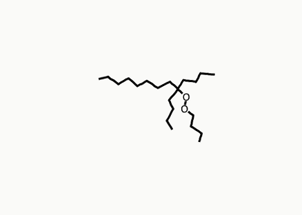 CCCCCCCCC(CCCC)(CCCC)OOCCCC